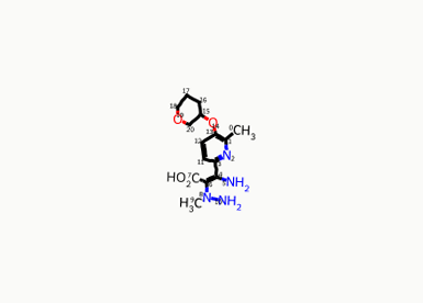 Cc1nc(/C(N)=C(\C(=O)O)N(C)N)ccc1OC1CCCOC1